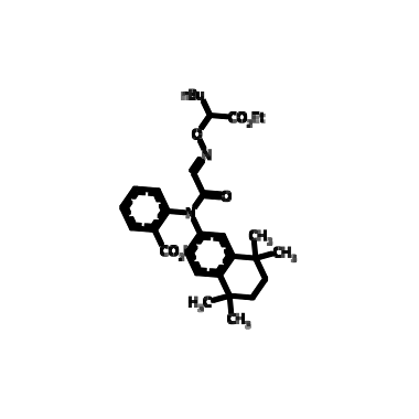 CCCCC(ON=CC(=O)N(c1ccc2c(c1)C(C)(C)CCC2(C)C)c1ccccc1C(=O)O)C(=O)OCC